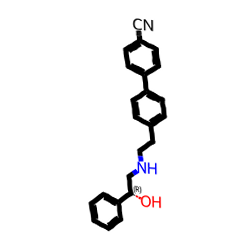 N#Cc1ccc(-c2ccc(CCNC[C@H](O)c3ccccc3)cc2)cc1